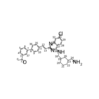 CC(=O)c1cccc(-c2ccc(C=Cc3nc(NCC4CCCC(CN)C4)c4ccc(Cl)cc4n3)cc2)c1